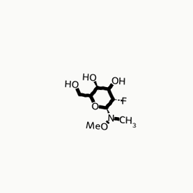 CON(C)[C@@H]1OC(CO)[C@@H](O)C(O)[C@@H]1F